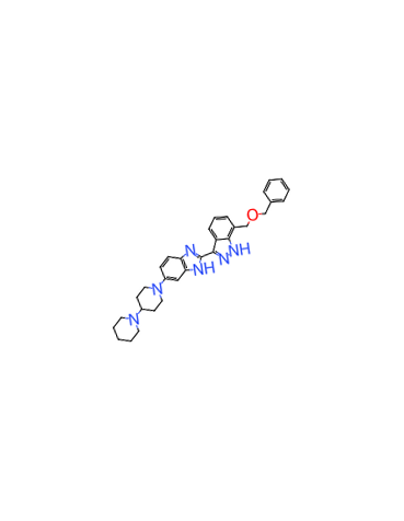 c1ccc(COCc2cccc3c(-c4nc5ccc(N6CCC(N7CCCCC7)CC6)cc5[nH]4)n[nH]c23)cc1